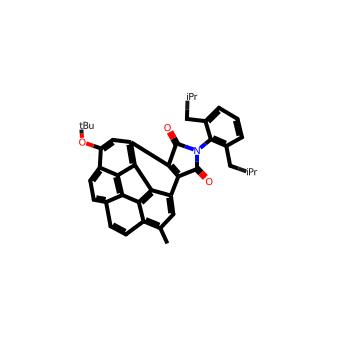 Cc1cc2c3c(=O)n(-c4c(CC(C)C)cccc4CC(C)C)c(=O)c3c3cc(OC(C)(C)C)c4ccc5ccc1c1c5c4c3c21